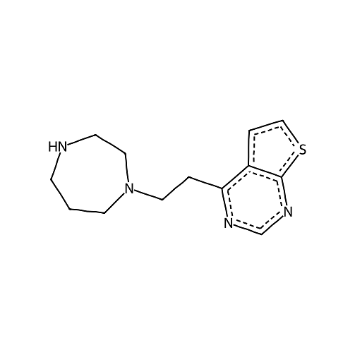 c1nc(CCN2CCCNCC2)c2ccsc2n1